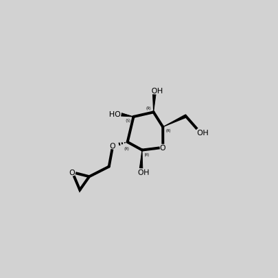 OC[C@H]1O[C@@H](O)[C@H](OCC2CO2)[C@@H](O)[C@H]1O